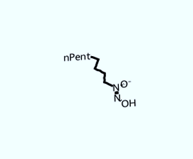 CCCCCCCCC[N+]([O-])=NO